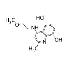 COCCNc1cc(C)nc2c(O)cccc12.Cl